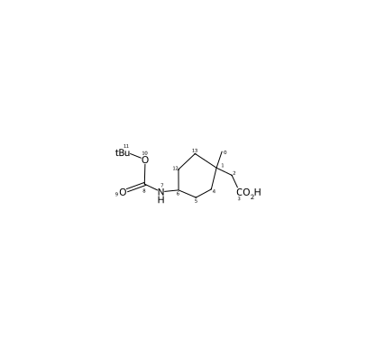 CC1(CC(=O)O)CCC(NC(=O)OC(C)(C)C)CC1